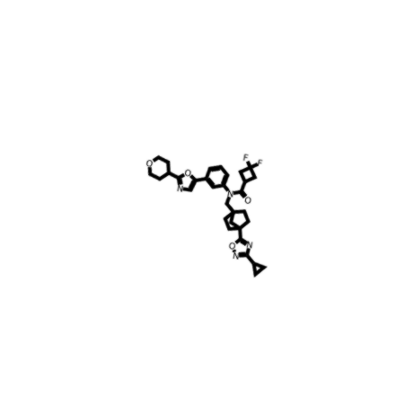 O=C(C1CC(F)(F)C1)N(CC12CCC(c3nc(C4CC4)no3)(CC1)C2)c1cccc(-c2cnc(C3CCOCC3)o2)c1